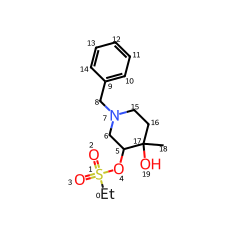 CCS(=O)(=O)OC1CN(Cc2ccccc2)CCC1(C)O